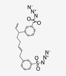 C=CC(CC/C=C/Cc1cccc(S(=O)(=O)N=[N+]=[N-])c1)c1cccc(S(=O)(=O)N=[N+]=[N-])c1